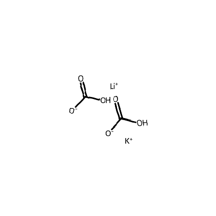 O=C([O-])O.O=C([O-])O.[K+].[Li+]